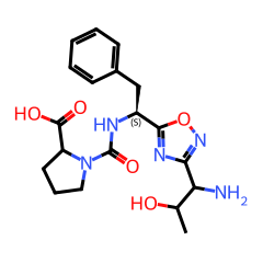 CC(O)C(N)c1noc([C@H](Cc2ccccc2)NC(=O)N2CCCC2C(=O)O)n1